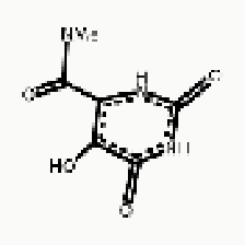 CNC(=O)c1[nH]c(=O)[nH]c(=O)c1O